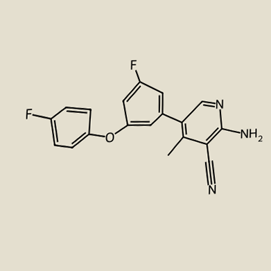 Cc1c(-c2cc(F)cc(Oc3ccc(F)cc3)c2)cnc(N)c1C#N